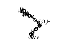 COc1ccc2nc(-c3ccc(-c4ccnc(N(CCOCCOc5ccc6c(c5)CN(C5CCC(=O)NC5=O)C6=O)C(=O)O)c4)cc3)cn2c1